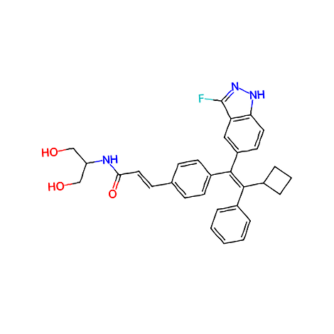 O=C(/C=C/c1ccc(/C(=C(\c2ccccc2)C2CCC2)c2ccc3[nH]nc(F)c3c2)cc1)NC(CO)CO